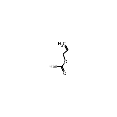 C=CCO[C](=O)[SnH]